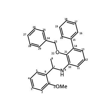 COc1ccccc1C(C)Nc1cccc(-c2ccccc2)c1OCc1ccccc1